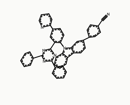 N#Cc1ccc(-c2ccc3c4ccccc4n(-c4ccc(-c5ccccn5)cc4-c4nc(-c5ccccc5)nc(-c5ccccc5)n4)c3c2)cc1